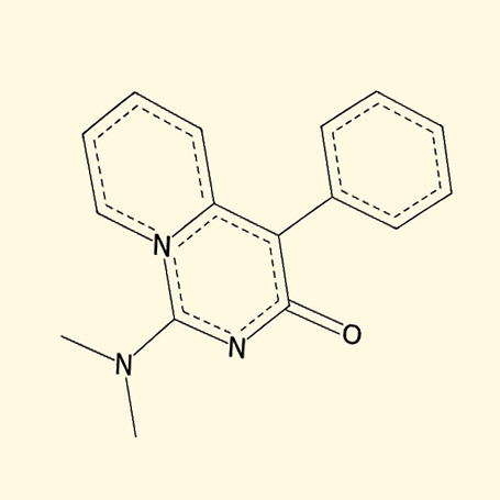 CN(C)c1nc(=O)c(-c2ccccc2)c2ccccn12